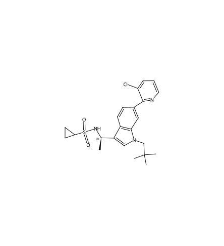 C[C@@H](NS(=O)(=O)C1CC1)c1cn(CC(C)(C)C)c2cc(-c3ncccc3Cl)ccc12